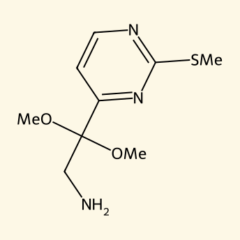 COC(CN)(OC)c1ccnc(SC)n1